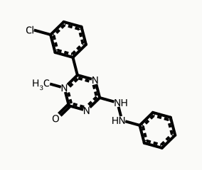 Cn1c(-c2cccc(Cl)c2)nc(NNc2ccccc2)nc1=O